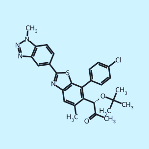 CC(=O)[C@@H](OC(C)(C)C)c1c(C)cc2nc(-c3ccc4c(c3)nnn4C)sc2c1-c1ccc(Cl)cc1